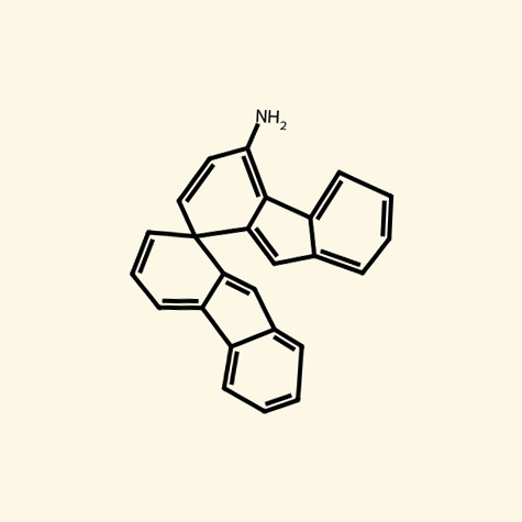 NC1=C2C(=Cc3ccccc32)C2(C=CC=C3C2=Cc2ccccc23)C=C1